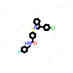 O=C(NCc1ccc(F)cc1)c1ccc(Sn2cc(-c3ccc(Cl)cc3)c3ccccc32)cc1